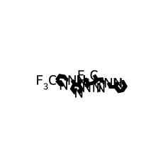 FC(F)(F)c1ccc(Nc2ccnc3nc(-c4nnc(NCc5ccccn5)cc4C(F)(F)F)cnc23)nc1